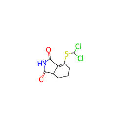 O=C1NC(=O)C2CCCC(SC(Cl)Cl)=C12